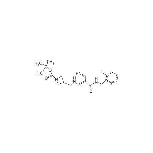 CC(C)(C)OC(=O)N1CC(CN/C=C(\C=N)C(=O)NCc2ncccc2F)C1